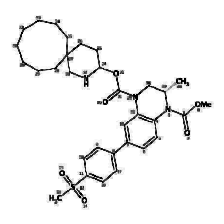 COC(=O)N1c2ccc(-c3ccc(S(C)(=O)=O)cc3)cc2N(C(=O)OC2CCC3(CCCCCCCC3)CN2)C[C@@H]1C